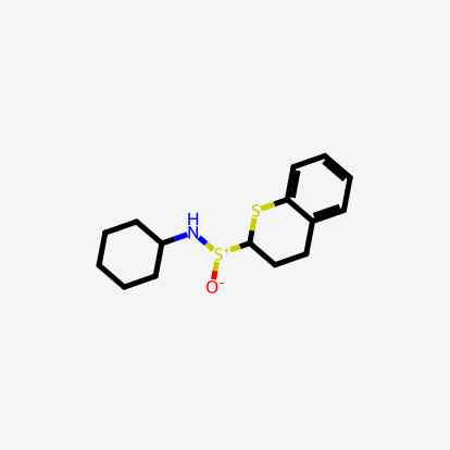 [O-][S+](NC1CCCCC1)C1CCc2ccccc2S1